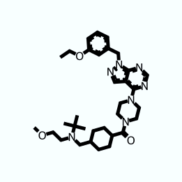 CCOc1cccc(Cn2ncc3c(N4CCN(C(=O)C5CCC(CN(CCOC)C(C)(C)C)CC5)CC4)ncnc32)c1